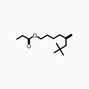 C=C(CCCCOC(=O)CC)CC(C)(C)C